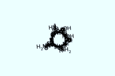 CCNC(=O)O[C@H]1CN2C(=O)C(Cc3ccc(O)cc3)NC(=O)c3csc(n3)[C@H]([C@H](O)c3ccccc3)NC(=O)c3nc(sc3C)[C@H](CC(N)=O)NC(=O)c3csc(n3)-c3ccc(-c4nc(C(N)=O)cs4)nc3-c3csc(n3)-c3csc(n3)[C@@H]2[C@H]1C